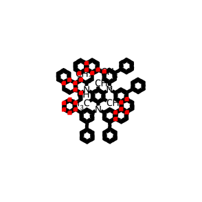 C=C/C(=C\C(=C/c1ccccc1)N(C(/C=C1/C=CC=CC1C)=C/C(=C\C)c1ccccc1)c1c(C)c(N(c2cc(-c3ccccc3)cc(-c3ccccc3)c2)c2cc(-c3ccccc3)cc(-c3ccccc3)c2)c(C)c(N(c2cc(-c3ccccc3)cc(-c3ccccc3)c2)c2cc(-c3ccccc3)cc(-c3ccccc3)c2)c1C)c1ccccc1